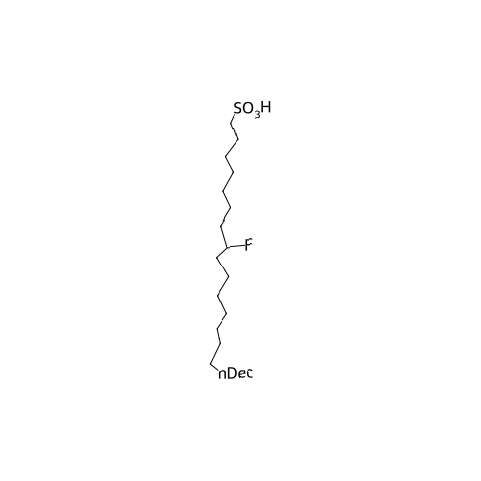 CCCCCCCCCCCCCCCCCC(F)CCCCCCCS(=O)(=O)O